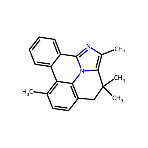 Cc1nc2c3ccccc3c3c(C)ccc4c3n2c1C(C)(C)C4